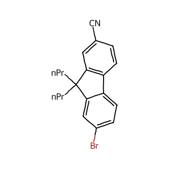 CCCC1(CCC)c2cc(Br)ccc2-c2ccc(C#N)cc21